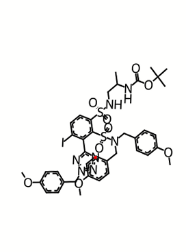 COc1ccc(CN(Cc2ccc(OC)cc2)S(=O)(=O)c2c(S(=O)(=O)NCC(C)NC(=O)OC(C)(C)C)ccc(I)c2-c2nnn(Cc3ccc(OC)cc3)n2)cc1